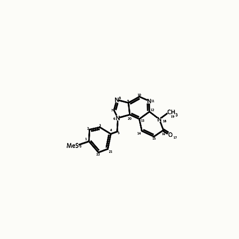 CSc1ccc(Cn2cnc3cnc4c(ccc(=O)n4C)c32)cc1